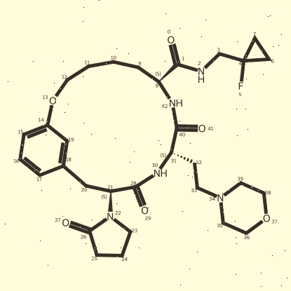 O=C(NCC1(F)CC1)[C@@H]1CCCCOc2cccc(c2)C[C@H](N2CCCC2=O)C(=O)N[C@@H](CCN2CCOCC2)C(=O)N1